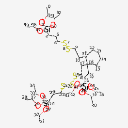 CCO[Si](CCCSSCCC1CCCCC1(CCSSSCCC[Si](OCC)(OCC)OCC)CC[Si](OCC)(OCC)OCC)(OCC)OCC